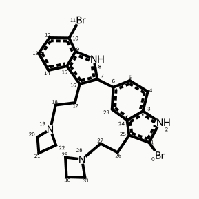 Brc1[nH]c2ccc(-c3[nH]c4c(Br)cccc4c3CCN3CCC3)cc2c1CCN1CCC1